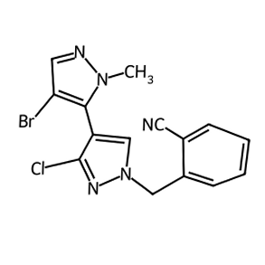 Cn1ncc(Br)c1-c1cn(Cc2ccccc2C#N)nc1Cl